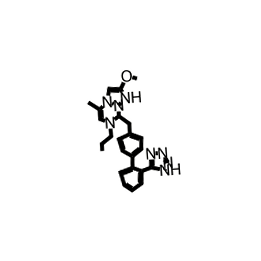 CCCN1C=C(C)N2C=C(OC)NN2C1Cc1ccc(-c2ccccc2-c2nnn[nH]2)cc1